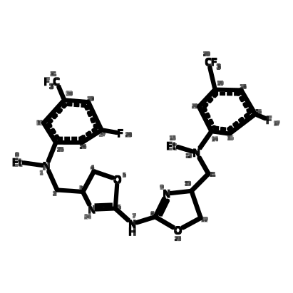 CCN(CC1COC(NC2=NC(CN(CC)c3cc(F)cc(C(F)(F)F)c3)CO2)=N1)c1cc(F)cc(C(F)(F)F)c1